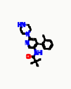 Cc1ccccc1-c1cc(N2CCNCC2)ncc1NC(=O)C(C)(C)C